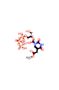 COC(=O)Cc1cn([C@@H](O)O[C@@H](CO)COP(=O)(O)OP(=O)(O)OP(=O)(O)O)c(=O)[nH]c1=O